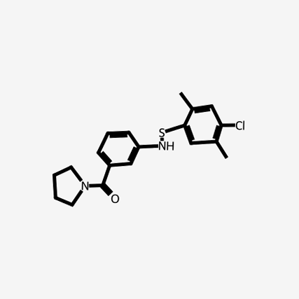 Cc1cc(SNc2cccc(C(=O)N3CCCC3)c2)c(C)cc1Cl